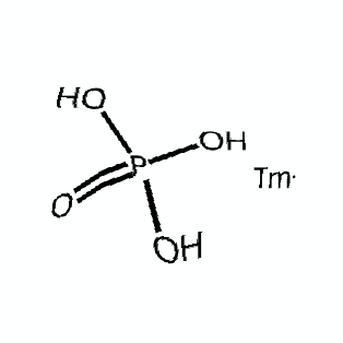 O=P(O)(O)O.[Tm]